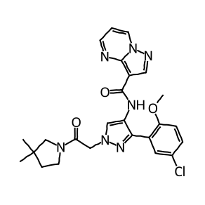 COc1ccc(Cl)cc1-c1nn(CC(=O)N2CCC(C)(C)C2)cc1NC(=O)c1cnn2cccnc12